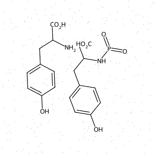 NC(Cc1ccc(O)cc1)C(=O)O.O=C(O)C(Cc1ccc(O)cc1)NP(=O)=O